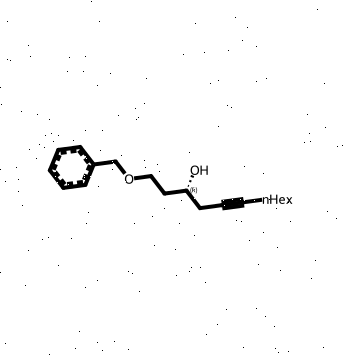 CCCCCCC#CC[C@@H](O)CCOCc1ccccc1